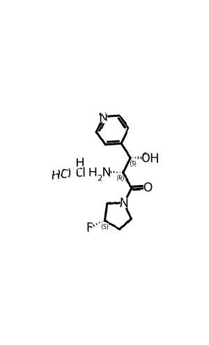 Cl.Cl.N[C@@H](C(=O)N1CC[C@H](F)C1)[C@@H](O)c1ccncc1